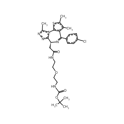 Cc1sc2c(c1C)C(c1ccc(Cl)cc1)=N[C@@H](CC(=O)NCCOCCNC(=O)OC(C)(C)C)c1nnc(C)n1-2